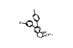 CC1CCc2nc(-c3ccc(F)cc3)c(-c3ccc(F)cc3)nc2N1